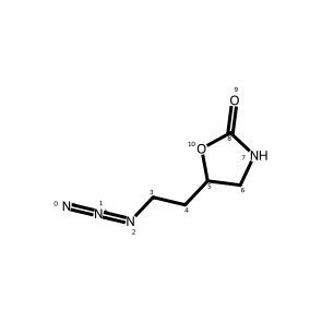 [N-]=[N+]=NCCC1CNC(=O)O1